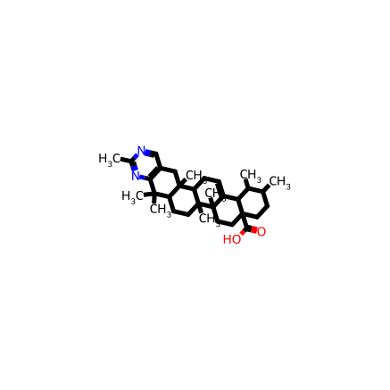 Cc1ncc2c(n1)C(C)(C)C1CCC3(C)C(CC=C4C5C(C)C(C)CCC5(C(=O)O)CCC43C)C1(C)C2